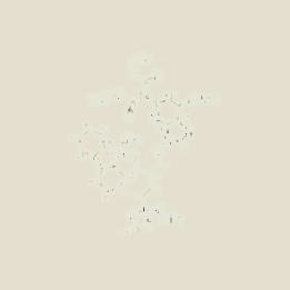 COc1nc(N(C(=O)OC(C)(C)C)C(=O)OC(C)(C)C)nc2c1ncn2OCC(/C=C/P(=O)(OC(C)C)OC(C)C)CO[Si](c1ccccc1)(c1ccccc1)C(C)(C)C